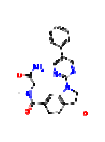 CN(CC(N)=O)C(=O)c1ccc2c(c1)N(c1ncc(-c3ccccc3)cn1)CC21COC1